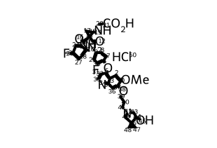 COc1cc2c(Oc3ccc(N(C(=O)C4(C(N)=O)CC4NCC(=O)O)c4ccc(F)cc4)cc3F)ccnc2cc1OCCCN1CC(O)C2(CC2)C1.Cl